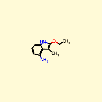 CCOc1[nH]c2cccc(N)c2c1C